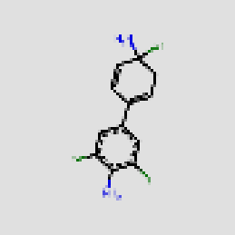 Nc1c(F)cc(C2=CCC(N)(Br)C=C2)cc1F